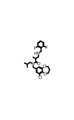 CC(C)CN(Cc1cc(Cl)c2c(c1)OCCCO2)C(=O)C(C)CNCc1c(F)cccc1F